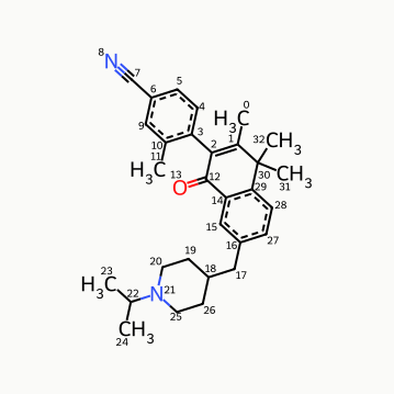 CC1=C(c2ccc(C#N)cc2C)C(=O)c2cc(CC3CCN(C(C)C)CC3)ccc2C1(C)C